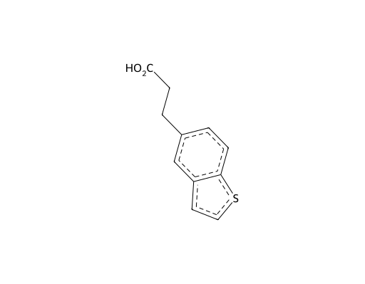 O=C(O)CCc1ccc2sccc2c1